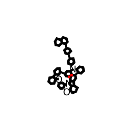 c1cc(-c2cccc3c2oc2ccccc23)cc(N(c2ccc(-c3ccc(-c4cccc5ccccc45)cc3)cc2)c2ccccc2-c2ccc3c(c2)c2cccc4c2n3-c2ccccc2O4)c1